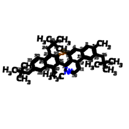 Cc1cc2cc3c4c([n+](C)ccc4c2cc1CC(C)(C)C)-c1c(c(CC(C)(C)C)c2ccc(CC(C)(C)C)cc2c1C)S3